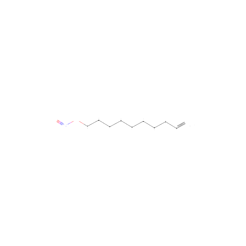 C=CCCCCCCCCON=O